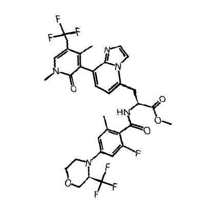 COC(=O)[C@H](Cc1ccc(-c2c(C)c(C(F)(F)F)cn(C)c2=O)c2nccn12)NC(=O)c1c(C)cc(N2CCOC[C@@H]2C(F)(F)F)cc1F